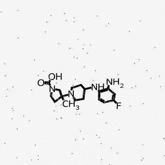 CC1(N2CCC(Nc3ccc(F)cc3N)CC2)CCN(C(=O)O)C1